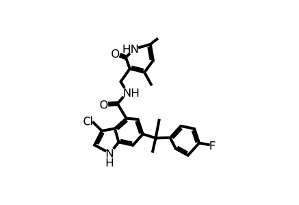 Cc1cc(C)c(CNC(=O)c2cc(C(C)(C)c3ccc(F)cc3)cc3[nH]cc(Cl)c23)c(=O)[nH]1